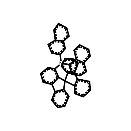 c1ccc2c(c1)-c1ccccc1C21c2ccccc2-c2cccc(N(c3ccc4ccccc4c3)c3cccc4ccccc34)c21